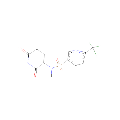 CN(C1CCC(=O)NC1=O)S(=O)(=O)c1ccc(C(F)(F)F)nc1